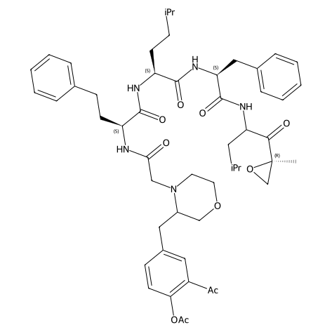 CC(=O)Oc1ccc(CC2COCCN2CC(=O)N[C@@H](CCc2ccccc2)C(=O)N[C@@H](CCC(C)C)C(=O)N[C@@H](Cc2ccccc2)C(=O)NC(CC(C)C)C(=O)[C@@]2(C)CO2)cc1C(C)=O